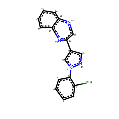 Fc1ccccc1-n1cc(-c2cnc3ccccc3n2)cn1